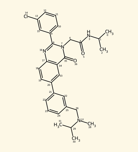 CC(C)NC(=O)Cn1c(-c2cccc(Cl)c2)nc2ccc(-c3cccc(CN(C)C(C)C)c3)cc2c1=O